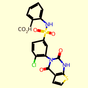 O=C(O)c1ccccc1NS(=O)(=O)c1ccc(Cl)c(-n2c(=O)[nH]c3sccc3c2=O)c1